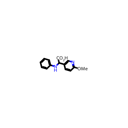 COc1ccc(C(Nc2ccccc2)C(=O)O)cn1